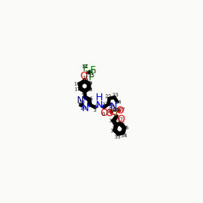 O=C(NCc1cc(-c2ccc(OC(F)(F)F)cc2)ncn1)C1CCCN1S(=O)(=O)c1cc2ccccc2o1